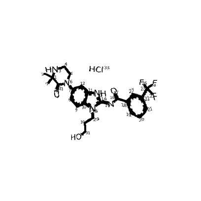 CC1(C)NCCN(c2ccc3c(c2)[nH]/c(=N\C(=O)c2cccc(C(F)(F)F)c2)n3CCCO)C1=O.Cl